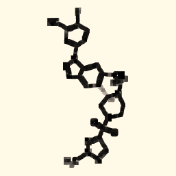 CCCN1CCN(S(=O)(=O)c2cnn(C)n2)C[C@@H]1c1cc2cnn(-c3ccc(F)c(C#N)c3)c2cc1C